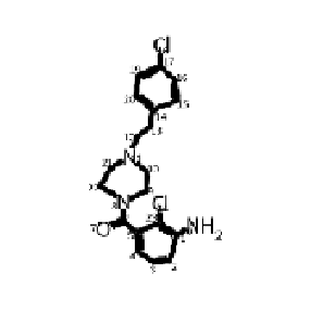 Nc1cccc(C(=O)N2CCN(CCc3ccc(Cl)cc3)CC2)c1Cl